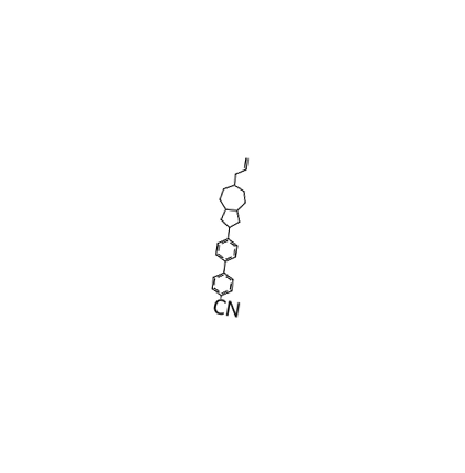 C=CCC1CCC2CC(c3ccc(-c4ccc(C#N)cc4)cc3)CC2CC1